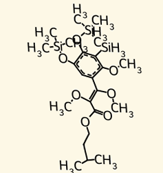 COC(C(=O)OCCC(C)C)=C(OC)c1cc(O[Si](C)(C)C)c(O[Si](C)(C)C)c([SiH3])c1OC